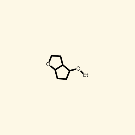 CCOC1CCC2OCCC12